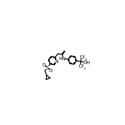 C=C(Cc1ccc(S(=O)(=O)CC2CC2)cn1)Nc1ccc(C(O)(C(F)(F)F)C(F)(F)F)cc1